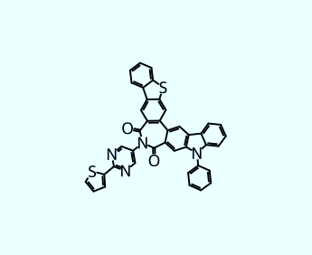 O=c1c2cc3c(cc2c2cc4c5ccccc5n(-c5ccccc5)c4cc2c(=O)n1-c1cnc(-c2cccs2)nc1)sc1ccccc13